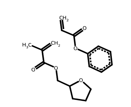 C=C(C)C(=O)OCC1CCCO1.C=CC(=O)Oc1ccccc1